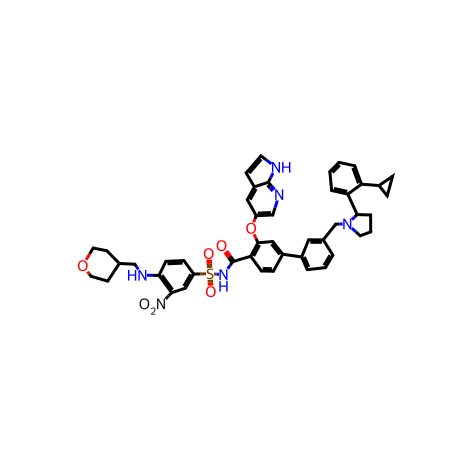 O=C(NS(=O)(=O)c1ccc(NCC2CCOCC2)c([N+](=O)[O-])c1)c1ccc(-c2cccc(CN3CCCC3c3ccccc3C3CC3)c2)cc1Oc1cnc2[nH]ccc2c1